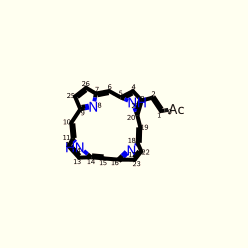 CC(=O)C=Cc1cc2cc3nc(cc4ccc(cc5nc(cc1[nH]2)C=C5)[nH]4)C=C3